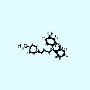 CN1CCN(CCCN2c3ccccc3Sc3cc(C(F)(F)F)ccc32)CC1